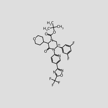 CC(C)(C)OC(=O)N1C[C@@H](c2cc(F)cc(F)c2)N(c2ccc(-c3noc(C(F)(F)F)n3)cn2)C(=O)C1C1CCOCC1